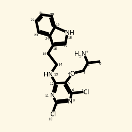 CC(N)COc1c(Cl)nc(Cl)nc1NCCc1c[nH]c2ccccc12